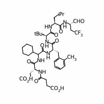 Cc1ccccc1C[C@H](NC(=O)C(NC(=O)[C@@H](CC(=O)O)NC(=O)CCC(=O)O)C1CCCCC1)C(=O)N[C@H](C(=O)N[C@@H](CC(C)C)C(=O)N[C@H](C=O)CC(F)(F)F)C(C)(C)C